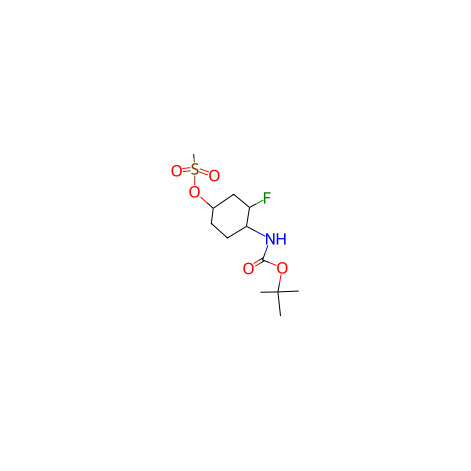 CC(C)(C)OC(=O)NC1CCC(OS(C)(=O)=O)CC1F